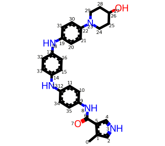 Cc1c[nH]cc1C(=O)Nc1ccc(Nc2ccc(Nc3ccc(N4CCC(O)CC4)cc3)cc2)cc1